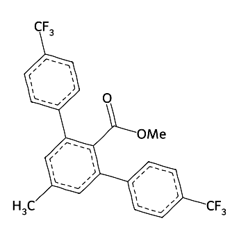 COC(=O)c1c(-c2ccc(C(F)(F)F)cc2)cc(C)cc1-c1ccc(C(F)(F)F)cc1